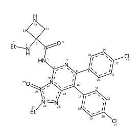 CCNC1(C(=O)Nc2nc(-c3ccc(Cl)cc3)c(-c3ccc(Cl)cc3)c3nn(CC)c(=O)n23)CNC1